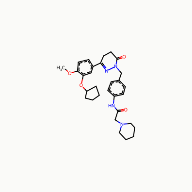 COc1ccc(C2=NN(Cc3ccc(NC(=O)CN4[CH]CCCC4)cc3)C(=O)CC2)cc1OC1CCCC1